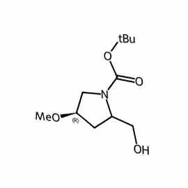 CO[C@@H]1CC(CO)N(C(=O)OC(C)(C)C)C1